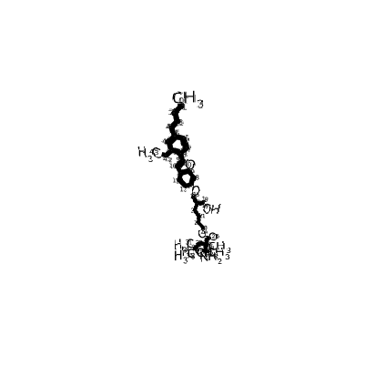 CCCCCc1ccc(-c2cc3ccc(OCC(CO)CCCCOC(=O)C(C)(CC(C)(C)C)C(C)(C)N)cc3o2)c(CC)c1